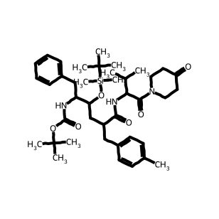 Cc1ccc(CC(CC(O[Si](C)(C)C(C)(C)C)C(Cc2ccccc2)NC(=O)OC(C)(C)C)C(=O)NC(C(=O)N2CCC(=O)CC2)C(C)C)cc1